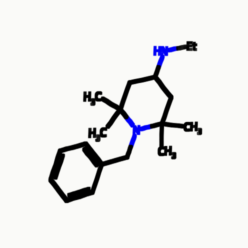 CCNC1CC(C)(C)N(Cc2ccccc2)C(C)(C)C1